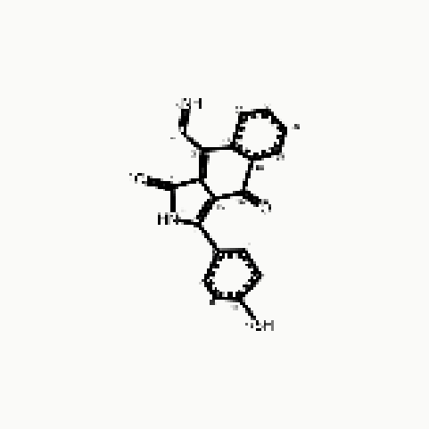 N=NC1=C2C(=O)NC(c3ccc(S)cc3)=C2C(=O)c2ccccc21